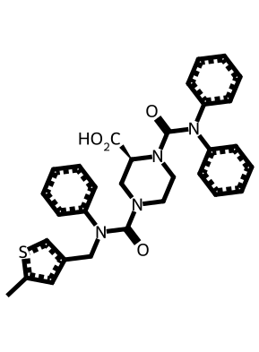 Cc1cc(CN(C(=O)N2CCN(C(=O)N(c3ccccc3)c3ccccc3)[C@H](C(=O)O)C2)c2ccccc2)cs1